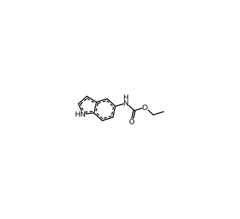 CCOC(=O)Nc1ccc2[nH]ccc2c1